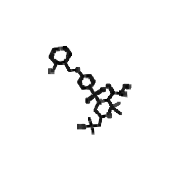 CCc1ccccc1COc1ccc(S(=O)(=O)N2CC(CC(C)(C)O)OC(C)(C)C2C(=O)NO)cc1